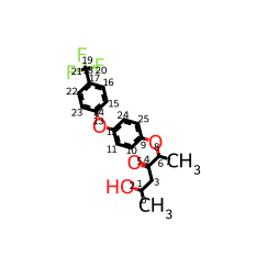 CC(O)CC(=O)C(C)Oc1ccc(Oc2ccc(C(F)(F)F)cc2)cc1